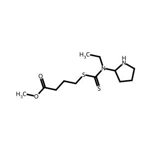 CCN(C(=S)SCCCC(=O)OC)C1CCCN1